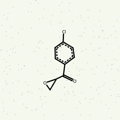 O=C(c1ccc(Cl)cc1)C1CO1